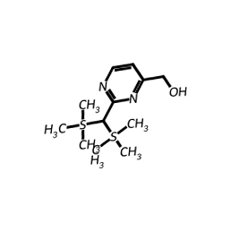 CS(C)(C)C(c1nccc(CO)n1)S(C)(C)C